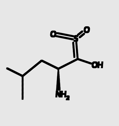 CC(C)C[C@H](N)C(O)=S(=O)=O